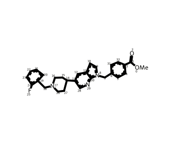 COC(=O)c1ccc(Cn2ccc3cc(C4CCN(Cc5ccccc5F)CC4)cnc32)cc1